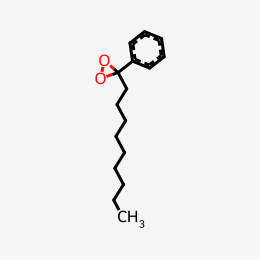 CCCCCCCCCC1(c2ccccc2)OO1